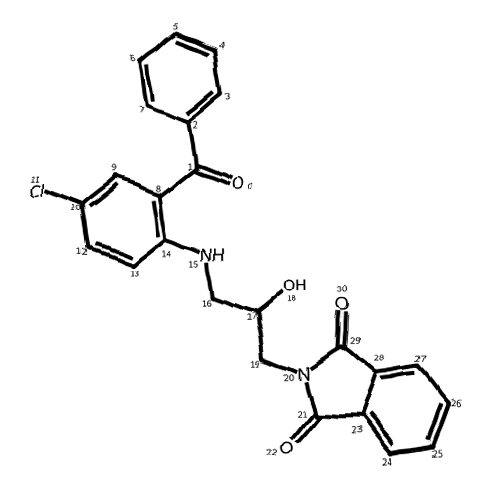 O=C(c1ccccc1)c1cc(Cl)ccc1NCC(O)CN1C(=O)c2ccccc2C1=O